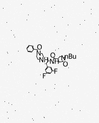 CCCCN1CC(C(=O)NC(Cc2cc(F)cc(F)c2)C[C@H]2CN(C(=O)c3ccccc3)CCN2)CC1=O